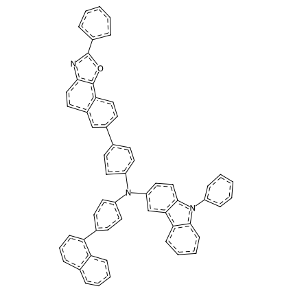 c1ccc(-c2nc3ccc4cc(-c5ccc(N(c6ccc(-c7cccc8ccccc78)cc6)c6ccc7c(c6)c6ccccc6n7-c6ccccc6)cc5)ccc4c3o2)cc1